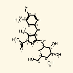 CC(=O)n1nc(O[C@@H]2S[C@H](CO)[C@@H](O)[C@H](O)[C@H]2O)c(Cc2ccc(F)c(C)c2)c1C